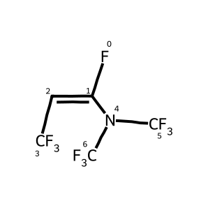 F/C(=C/C(F)(F)F)N(C(F)(F)F)C(F)(F)F